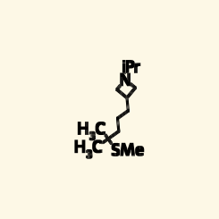 CSC(C)(C)CCCC1CN(C(C)C)C1